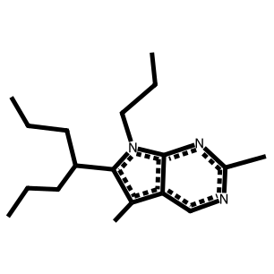 CCCC(CCC)c1c(C)c2cnc(C)nc2n1CCC